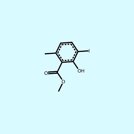 COC(=O)c1c(C)ccc(I)c1O